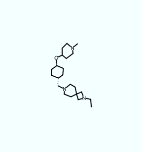 CCN1CC2(CCN(C[C@H]3CC[C@H](OC4CCN(C)CC4)CC3)CC2)C1